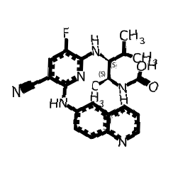 CC(C)[C@H](Nc1nc(Nc2ccc3ncccc3c2)c(C#N)cc1F)[C@H](C)NC(=O)O